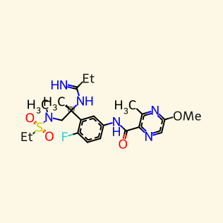 CCC(=N)N[C@@](C)(CN(C)S(=O)(=O)CC)c1cc(NC(=O)c2ncc(OC)nc2C)ccc1F